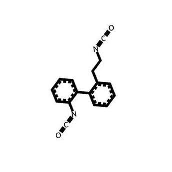 O=C=NCCc1ccccc1-c1ccccc1N=C=O